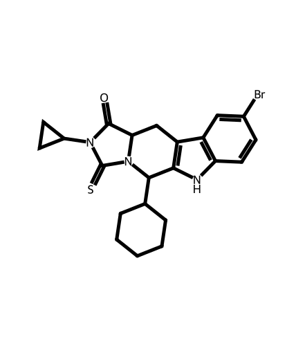 O=C1C2Cc3c([nH]c4ccc(Br)cc34)C(C3CCCCC3)N2C(=S)N1C1CC1